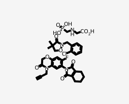 C#CCN1C(=O)COc2cc(F)c(N3C(=O)C4=C(CCCC4)C3=O)cc21.CC1(C)CON(Cc2ccccc2Cl)C1=O.O=C(O)CNCP(=O)(O)O